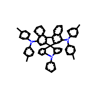 Cc1ccc(N(c2ccc(C)cc2)c2cc3c(c4ccccc24)-c2c(cc(N(c4ccc(C)cc4)c4ccc(C)cc4)c4ccccc24)C32c3ccccc3N(c3ccccc3)c3ccccc32)cc1